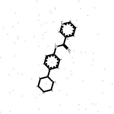 O=C(Oc1ccc(C2CCCCC2)cc1)c1cccnc1